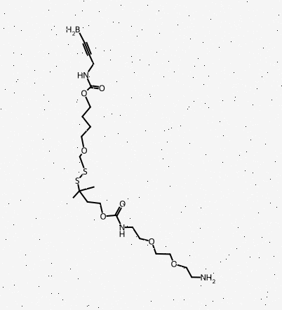 BC#CCNC(=O)OCCCCOCSSC(C)(C)CCOC(=O)NCCOCCOCCN